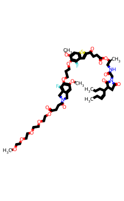 CC/C=C\C(CCC)C1CC(=O)N(CC(=O)NC[C@H](C)OC(=O)CCC(=O)c2cc3c(F)c(OCCCOc4c(OC)cc5c(c4F)CN(C(=O)CCC(=O)OCCOCCOCCOCCOC)C5)c(OC)cc3s2)C1=O